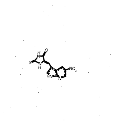 O=C1NC(=S)NC1=Cc1c[nH]c2ncc([N+](=O)[O-])cc12